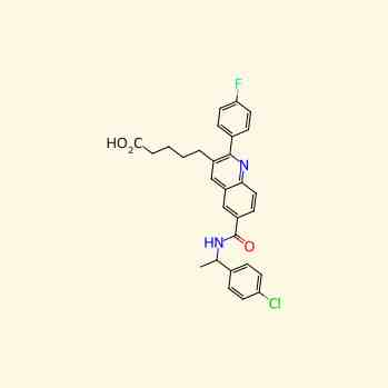 CC(NC(=O)c1ccc2nc(-c3ccc(F)cc3)c(CCCCC(=O)O)cc2c1)c1ccc(Cl)cc1